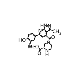 COC(=O)[C@H]1CN(C(=O)c2cc(-c3ccc(O)c(F)c3)nc3[nH]nc(C)c23)CCN1